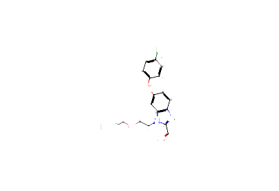 CCOCCn1c(C=O)nc2ccc(Oc3ccc(F)cc3)cc21